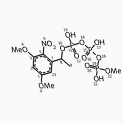 COc1cc(OC)c([N+](=O)[O-])c(C(C)OP(=O)(O)OP(=O)(O)OP(=O)(O)OC)c1